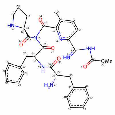 [CH2]c1ccc(C(=N)NC(=O)OC)nc1C(=O)N(C(=O)[C@@H]1CCCN1)C(=O)[C@H](Cc1ccccc1)NC(=O)[C@@H](N)Cc1ccccc1